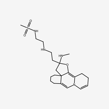 CNC1(CCNCCNS(C)(=O)=O)CC23CCCCC2=CN2C=CCCC2=C3O1